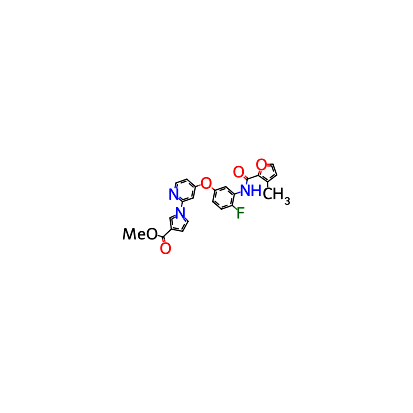 COC(=O)c1ccn(-c2cc(Oc3ccc(F)c(NC(=O)c4occc4C)c3)ccn2)c1